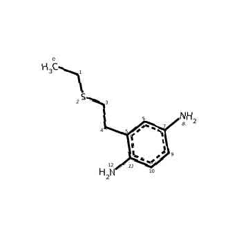 CCSCCc1cc(N)ccc1N